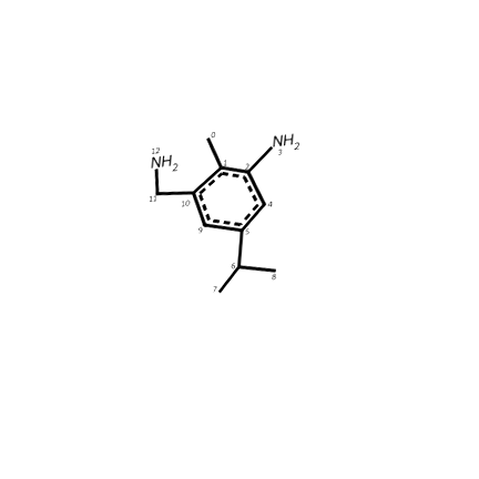 Cc1c(N)cc(C(C)C)cc1CN